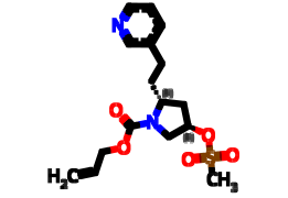 C=CCOC(=O)N1C[C@H](OS(C)(=O)=O)C[C@H]1CCc1cccnc1